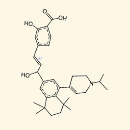 CC(C)N1CC=C(c2cc(C(O)/C=C/c3ccc(C(=O)O)c(O)c3)cc3c2C(C)(C)CCC3(C)C)CC1